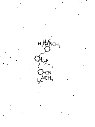 CN(C)c1ccc(/C=C/c2cccc(/C=C/c3ccc(N(C)C)c(C#N)c3)[n+]2CC(C)(F)F)cc1N